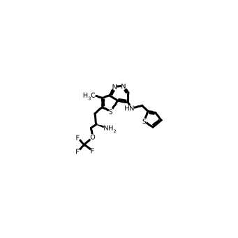 Cc1c(C[C@@H](N)COC(F)(F)F)sc2c(NCc3cccs3)cnnc12